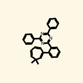 CC1(C)C=CC=CC(c2ccccc2-c2nc(-c3ccccc3)nc(-c3ccccc3)n2)=C1